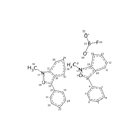 C[n+]1oc(-c2ccccc2)c2ccccc21.C[n+]1oc(-c2ccccc2)c2ccccc21.[O-]B([O-])F